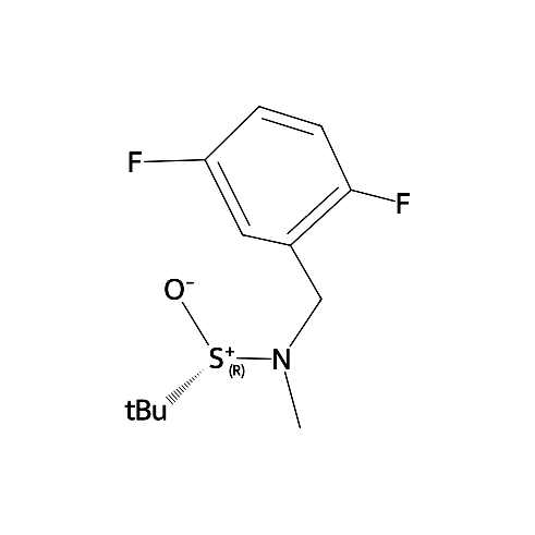 CN(Cc1cc(F)ccc1F)[S@@+]([O-])C(C)(C)C